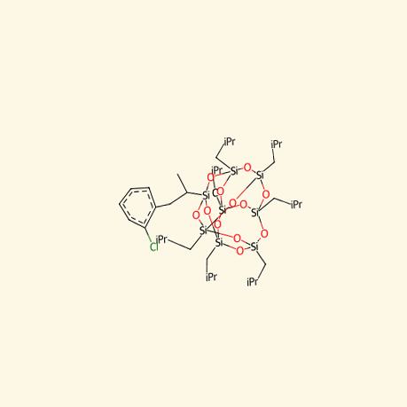 CC(C)C[Si]12O[Si]3(CC(C)C)O[Si]4(CC(C)C)O[Si](CC(C)C)(O1)O[Si]1(CC(C)C)O[Si](CC(C)C)(O2)O[Si](CC(C)C)(O3)O[Si](C(C)Cc2ccccc2Cl)(O4)O1